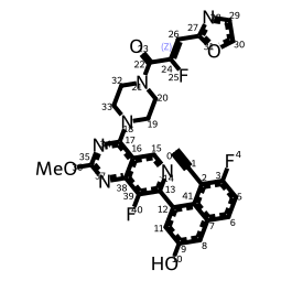 C#Cc1c(F)ccc2cc(O)cc(-c3ncc4c(N5CCN(C(=O)/C(F)=C/c6ncco6)CC5)nc(OC)nc4c3F)c12